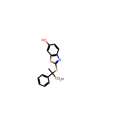 CC(Sc1nc2ccc(O)cc2s1)(C(=O)O)c1ccccc1